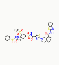 CCC(O)(CSc1ccccc1)Nc1ccc(S(=O)(=O)NC(=O)c2csc(N3CCc4cccc(C(=O)Nc5nc6ccccc6s5)c4C3)n2)cc1S(=O)(=O)C(F)(F)F